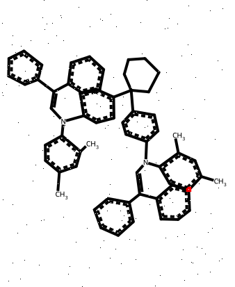 Cc1ccc(N(C=C(c2ccccc2)c2ccccc2)c2ccc(C3(c4ccc(N(C=C(c5ccccc5)c5ccccc5)c5ccc(C)cc5C)cc4)CCCCC3)cc2)c(C)c1